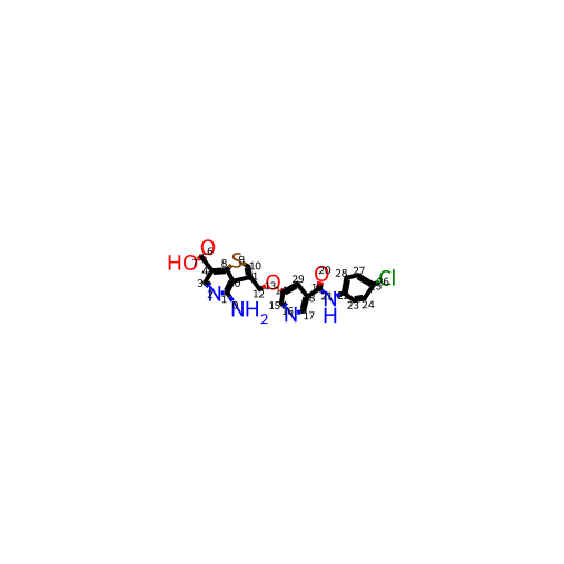 Nc1ncc(C(=O)O)c2scc(COc3cncc(C(=O)Nc4ccc(Cl)cc4)c3)c12